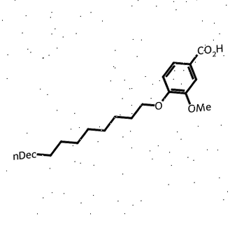 CCCCCCCCCCCCCCCCCCOc1ccc(C(=O)O)cc1OC